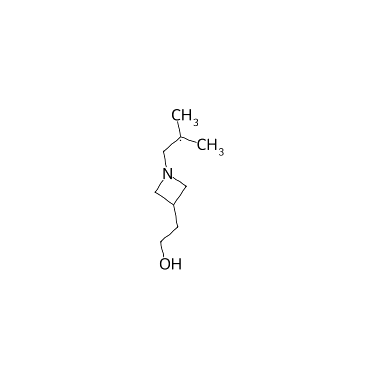 C[C](C)CN1CC(CCO)C1